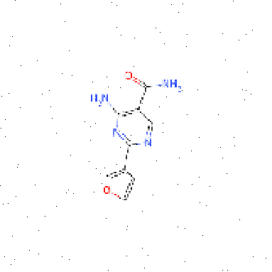 NC(=O)c1cnc(-c2ccoc2)nc1N